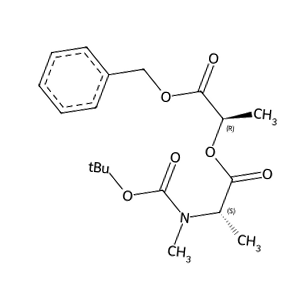 C[C@@H](OC(=O)[C@H](C)N(C)C(=O)OC(C)(C)C)C(=O)OCc1ccccc1